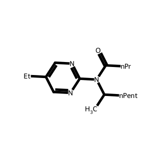 CCCCCC(C)N(C(=O)CCC)c1ncc(CC)cn1